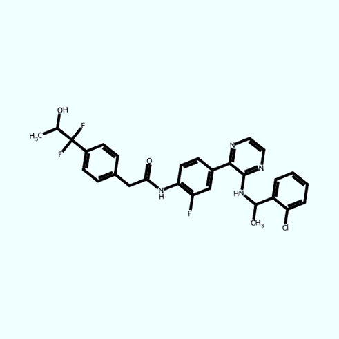 CC(Nc1nccnc1-c1ccc(NC(=O)Cc2ccc(C(F)(F)C(C)O)cc2)c(F)c1)c1ccccc1Cl